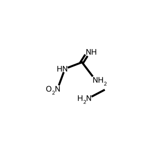 CN.N=C(N)N[N+](=O)[O-]